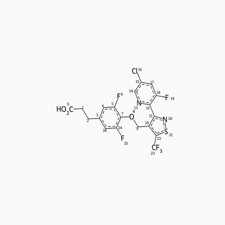 O=C(O)CCc1cc(F)c(OCc2c(-c3ncc(Cl)cc3F)nsc2C(F)(F)F)c(F)c1